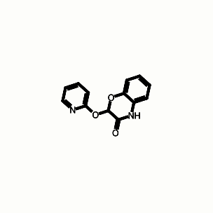 O=C1Nc2ccccc2OC1Oc1ccccn1